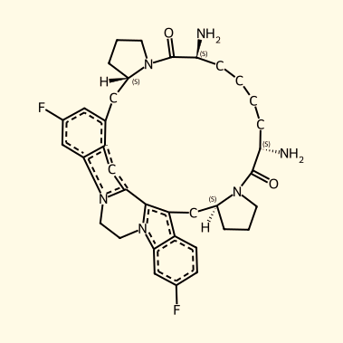 N[C@H]1CCCC[C@H](N)C(=O)N2CCC[C@H]2Cc2c3n(c4cc(F)ccc24)CCn2c-3cc3c(cc(F)cc32)C[C@@H]2CCCN2C1=O